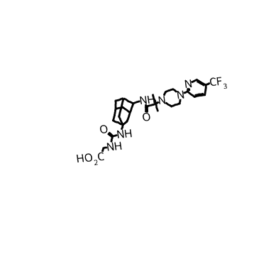 CC(C)(C(=O)NC1C2CC3CC1CC(NC(=O)NCC(=O)O)(C3)C2)N1CCN(c2ccc(C(F)(F)F)cn2)CC1